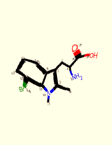 Cc1c(CC(N)C(=O)O)c2cccc(Br)c2n1C